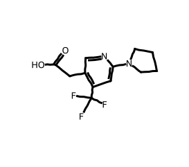 O=C(O)Cc1cnc(N2CCCC2)cc1C(F)(F)F